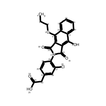 CCCOc1c2c(c(O)c3ccccc13)C(=O)N(c1ccc(CC(=O)O)cc1Cl)C2=O